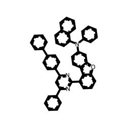 c1ccc(-c2ccc(-c3cc(-c4ccccc4)nc(-c4cccc5oc6cc(N(c7ccccc7)c7cccc8ccccc78)ccc6c45)n3)cc2)cc1